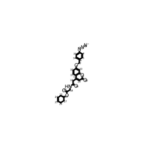 [N-]=[N+]=Nc1ccc(COc2ccc3c(CC(=O)NCC(=O)OC4CC=CCC4)cc(=O)oc3c2)cc1